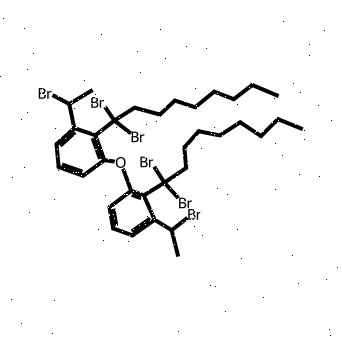 CCCCCCCCC(Br)(Br)c1c(Oc2cccc(C(C)Br)c2C(Br)(Br)CCCCCCCC)cccc1C(C)Br